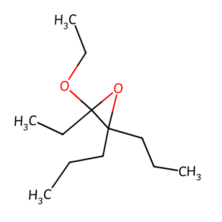 CCCC1(CCC)OC1(CC)OCC